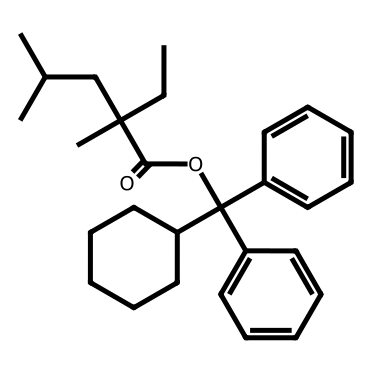 CCC(C)(CC(C)C)C(=O)OC(c1ccccc1)(c1ccccc1)C1CCCCC1